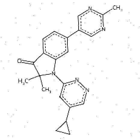 Cc1ncc(-c2ccc3c(c2)N(c2cc(C4CC4)cnn2)C(C)(C)C3=O)cn1